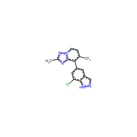 Cc1nc2c(-c3cc(Cl)c4[nH]ncc4c3)c(C(F)(F)F)ccn2n1